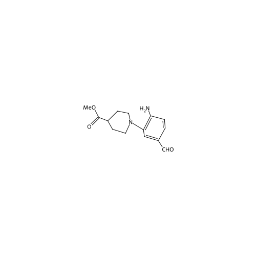 COC(=O)C1CCN(c2cc(C=O)ccc2N)CC1